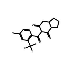 O=C1CC2CCCC2C(=O)C1C(=O)c1ccc(Cl)cc1C(F)(F)F